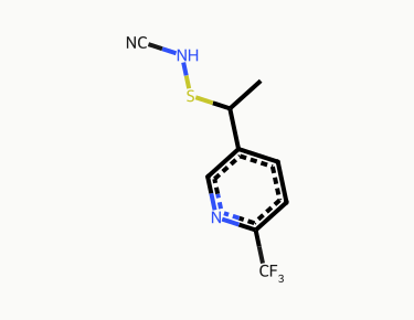 CC(SNC#N)c1ccc(C(F)(F)F)nc1